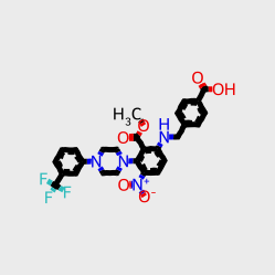 COC(=O)c1c(NCc2ccc(C(=O)O)cc2)ccc([N+](=O)[O-])c1N1CCN(c2cccc(C(F)(F)F)c2)CC1